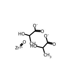 CC(O)C(=O)[O-].CC(O)C(=O)[O-].[O]=[Zr+2]